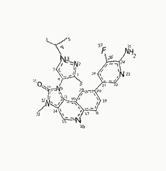 Cc1nn(C(C)C)cc1-n1c(=O)n(C)c2cnc3ccc(-c4cnc(N)c(F)c4)cc3c21